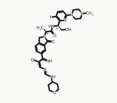 C[C@@H](C(=O)N[C@H](CO)c1nc(N2CCN(C)CC2)ccc1F)N1Cc2ccc(C(=N)/C(Cl)=C\N=C\NC3CCOCC3)cc2C1=O